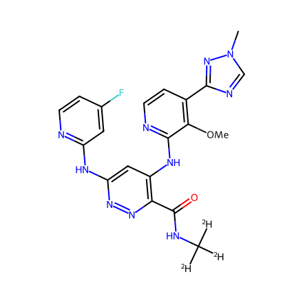 [2H]C([2H])([2H])NC(=O)c1nnc(Nc2cc(F)ccn2)cc1Nc1nccc(-c2ncn(C)n2)c1OC